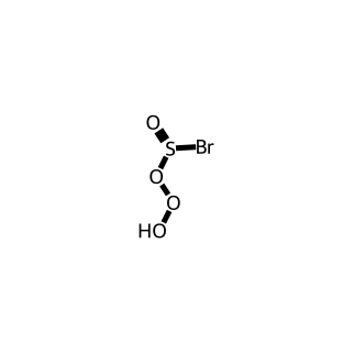 O=S(Br)OOO